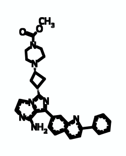 COC(=O)N1CCN([C@H]2C[C@@H](c3nc(-c4ccc5ccc(-c6ccccc6)nc5c4)c4c(N)nccn43)C2)CC1